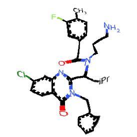 Cc1ccc(C(=O)N(CCCN)C(c2nc3cc(Cl)ccc3c(=O)n2Cc2ccccc2)C(C)C)cc1F